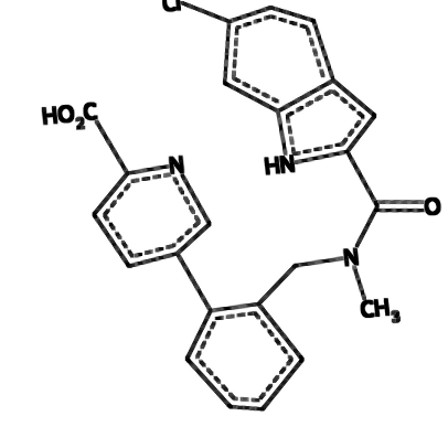 CN(Cc1ccccc1-c1ccc(C(=O)O)nc1)C(=O)c1cc2ccc(Cl)cc2[nH]1